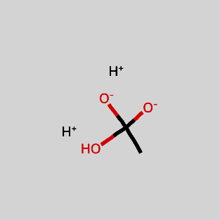 CC([O-])([O-])O.[H+].[H+]